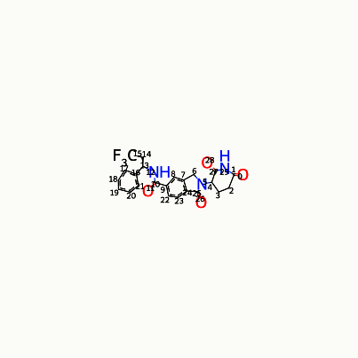 O=C1CCC(N2Cc3cc(C(=O)N[C@H](CC(F)(F)F)c4ccccc4)ccc3C2=O)C(=O)N1